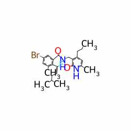 CCCc1cc(C)[nH]c(=O)c1CNC(=O)c1cc(Br)cc(C)c1/C(F)=C\CC(C)C